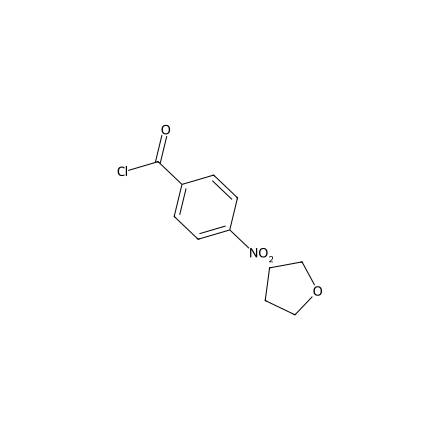 C1CCOC1.O=C(Cl)c1ccc([N+](=O)[O-])cc1